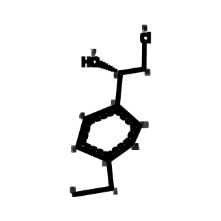 CCc1ccc([C@H](O)CCl)cc1